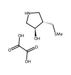 CSC[C@H]1CNC[C@@H]1O.O=C(O)C(=O)O